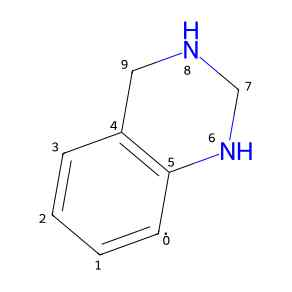 [c]1cccc2c1NCNC2